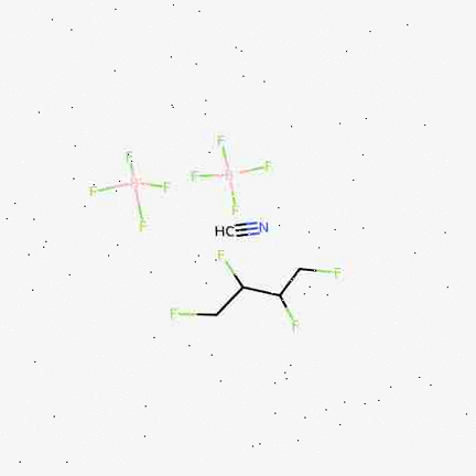 C#N.FCC(F)C(F)CF.F[B-](F)(F)F.F[B-](F)(F)F